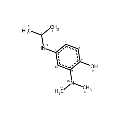 CC(C)Nc1ccc(O)c(N(C)C)c1